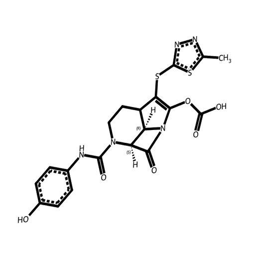 Cc1nnc(SC2=C(OC(=O)O)N3C(=O)[C@@H]4[C@H]3C2CCN4C(=O)Nc2ccc(O)cc2)s1